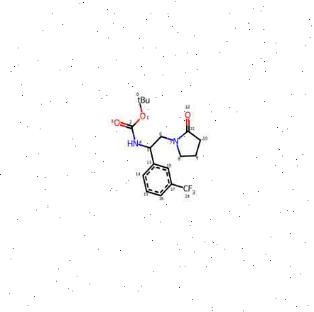 CC(C)(C)OC(=O)NC(CN1CCCC1=O)c1cccc(C(F)(F)F)c1